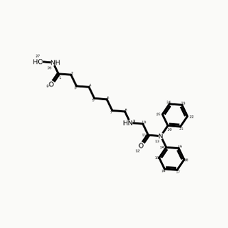 O=C(CCCCCCCNCC(=O)N(c1ccccc1)c1ccccc1)NO